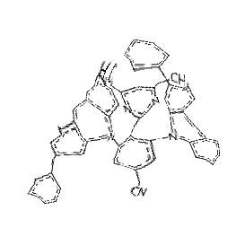 Cc1cc(C)nc(-c2c(-n3c4ccccc4c4ccc(-c5ccccc5)cc43)cc(C#N)cc2-n2c3ccccc3c3ccc(-c4ccccc4)cc32)n1